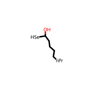 CCCCCCCC(O)[SeH]